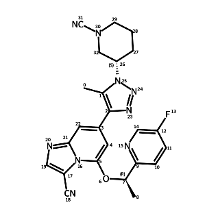 Cc1c(-c2cc(O[C@H](C)c3ccc(F)cn3)n3c(C#N)cnc3c2)nnn1[C@H]1CCCN(C#N)C1